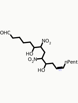 CCCCC/C=C\CC(O)C(CC(C(O)CCCCC=O)[N+](=O)[O-])[N+](=O)[O-]